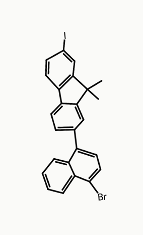 CC1(C)c2cc(I)ccc2-c2ccc(-c3ccc(Br)c4ccccc34)cc21